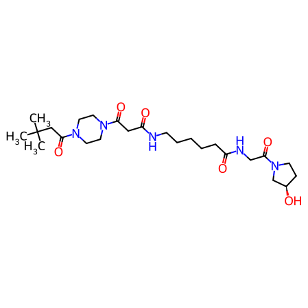 CC(C)(C)CC(=O)N1CCN(C(=O)CC(=O)NCCCCCC(=O)NCC(=O)N2CC[C@@H](O)C2)CC1